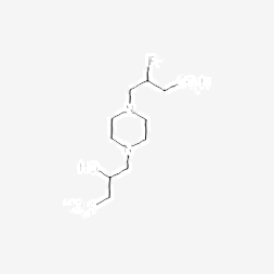 CC(C)C(CN1CCN(CC(O)CS(=O)(=O)O)CC1)CS(=O)(=O)O